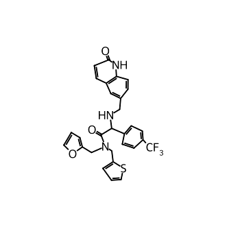 O=C(C(NCc1ccc2[nH]c(=O)ccc2c1)c1ccc(C(F)(F)F)cc1)N(Cc1ccco1)Cc1cccs1